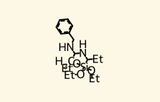 CCO[Si](OCC)(OCC)C(CC)NC(C)NCc1ccccc1